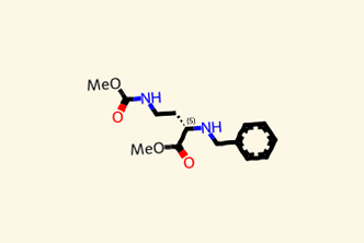 COC(=O)NCC[C@H](NCc1ccccc1)C(=O)OC